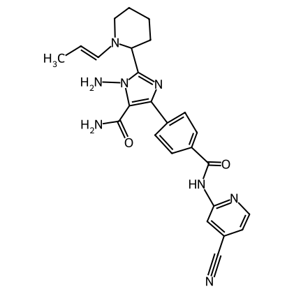 CC=CN1CCCCC1c1nc(-c2ccc(C(=O)Nc3cc(C#N)ccn3)cc2)c(C(N)=O)n1N